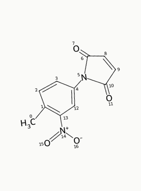 Cc1ccc(N2C(=O)C=CC2=O)cc1[N+](=O)[O-]